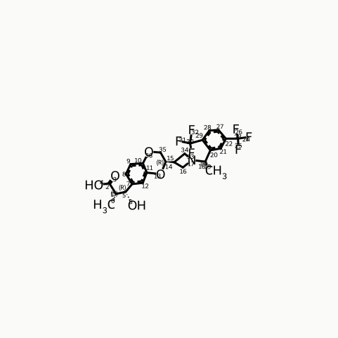 C[C@H](C(=O)O)[C@@H](O)c1ccc2c(c1)O[C@H](C1CN([C@H](C)c3cc(C(F)(F)F)ccc3C(F)(F)F)C1)CO2